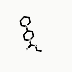 O=C(OCI)N1CCC(N2CCCCC2)CC1